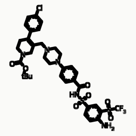 CC(C)(C)OC(=O)N1CCC(c2ccc(Cl)cc2)=C(CN2CCN(c3ccc(C(=O)NS(=O)(=O)c4ccc(N)c(S(=O)(=O)C(F)(F)F)c4)cc3)CC2)C1